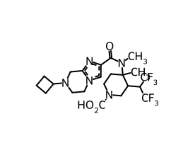 CN(C(=O)c1cn2c(n1)CN(C1CCC1)CC2)C1(C)CCN(C(=O)O)CC1C(C(F)(F)F)C(F)(F)F